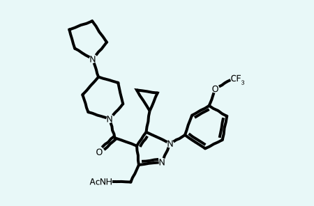 CC(=O)NCc1nn(-c2cccc(OC(F)(F)F)c2)c(C2CC2)c1C(=O)N1CCC(N2CCCC2)CC1